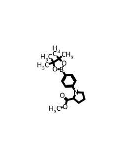 COC(=O)C1CCCN1c1ccc(B2OC(C)(C)C(C)(C)O2)cc1